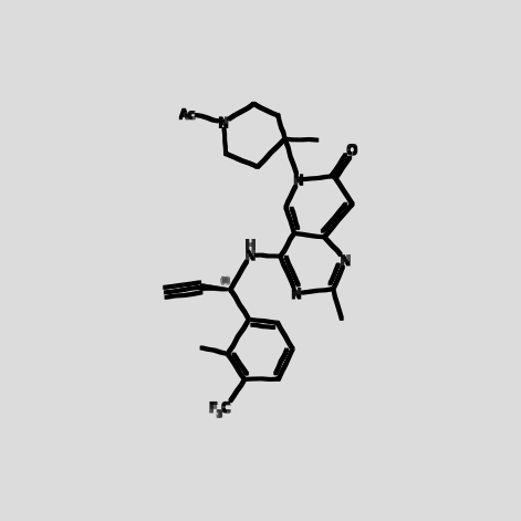 C#C[C@@H](Nc1nc(C)nc2cc(=O)n(C3(C)CCN(C(C)=O)CC3)cc12)c1cccc(C(F)(F)F)c1C